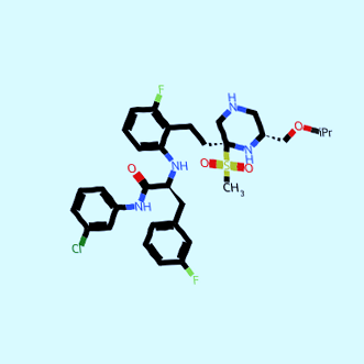 CC(C)OC[C@H]1CNC[C@](CCc2c(F)cccc2N[C@@H](Cc2cccc(F)c2)C(=O)Nc2cccc(Cl)c2)(S(C)(=O)=O)N1